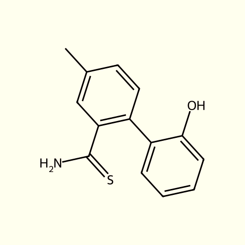 Cc1ccc(-c2ccccc2O)c(C(N)=S)c1